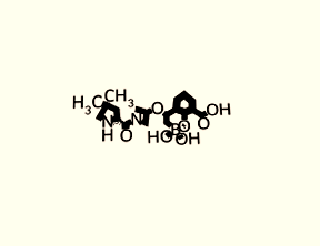 CC1(C)CN[C@H](C(=O)N2CC(OC3C[B-](O)(O)Oc4c(C(=O)O)cccc43)C2)C1